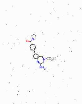 CCOC(=O)[N+]1=Cc2cc(-c3ccc(C(=O)N4CCCC4)cc3)ccc2N=C(N)C1